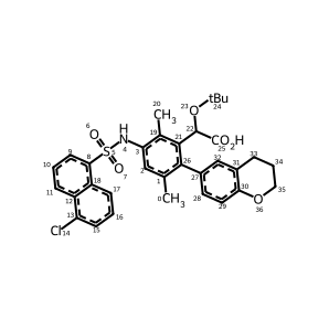 Cc1cc(NS(=O)(=O)c2cccc3c(Cl)cccc23)c(C)c(C(OC(C)(C)C)C(=O)O)c1-c1ccc2c(c1)CCCO2